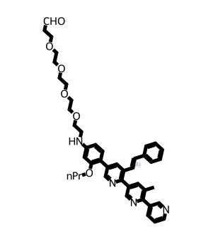 CCCOc1cc(NCCOCCOCCOCCOCCC=O)ccc1-c1cnc(-c2cnc(-c3cccnc3)c(C)c2)c(/C=C/c2ccccc2)c1